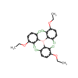 CCOc1ccc(Cl)c(B(c2c(Cl)ccc(OCC)c2Cl)c2c(Cl)ccc(OCC)c2Cl)c1Cl